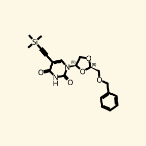 C[Si](C)(C)C#Cc1cn([C@H]2CO[C@@H](COCc3ccccc3)O2)c(=O)[nH]c1=O